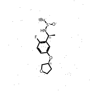 C[C@H](N[S+]([O-])C(C)(C)C)c1cc(O[C@H]2CCOC2)ccc1F